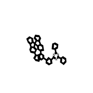 c1ccc(-c2ccc3c(c2)C2(c4ccccc4-3)c3ccccc3-c3ccc(-c4cccc(-c5cccc(-c6nc(-c7ccccc7)nc(-c7ccccc7)n6)c5)c4)cc32)cc1